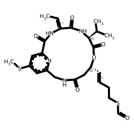 C/C=C1\NC(=O)c2cc(SC)cc(n2)CNC(=O)C[C@@H](/C=C/CCSC=O)OC(=O)[C@H](C(C)C)NC1=O